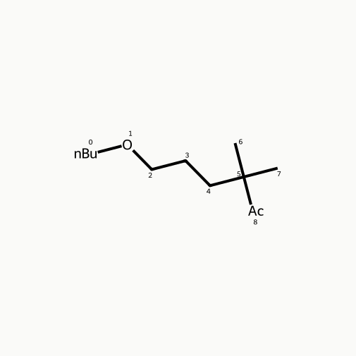 CCCCOCCCC(C)(C)C(C)=O